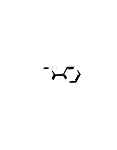 CC(C)(C)NC(=O)c1cn[c]cn1